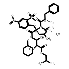 CC(=O)N(C(=O)[C@@H](N)Cc1ccccc1)[C@](CC(C)C)(C(=O)[C@@H](CC1CCCCC1)C(O)C(N)C(=O)NCC(C)C)[C@H]1CS(=O)(=O)c2cc([N+](=O)[O-])ccc21.O